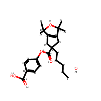 CCCCCC1(C(=O)Oc2ccc(C(=O)O)cc2)CC2=C(C1)C(C)(C)OC2(C)C.[O]